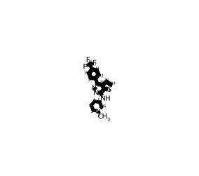 CN1CCC[C@@H](Nc2nnc(-c3ccc(C(F)(F)F)cc3)c3ccsc23)C1